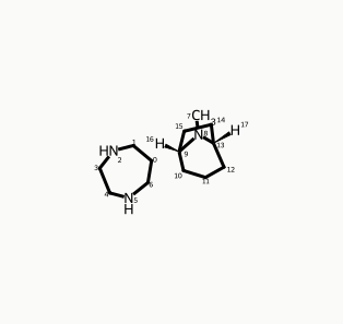 C1CNCCNC1.CN1[C@@H]2CCC[C@H]1CC2